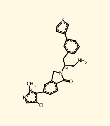 Cn1ncc(Cl)c1-c1ccc2c(c1)CN([C@H](CN)Cc1cccc(-c3ccsc3)c1)C2=O